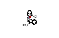 CC/N=C/N1C2CCC1CC(n1cc(C(=O)O)c3ccccc31)C2.Cl